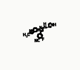 Cn1cc2cc(-n3nc(NC[C@@H]4CCNC4)cc3-c3ccc(C#N)c(F)c3)ccc2n1